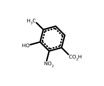 Cc1ccc(C(=O)O)c([N+](=O)[O-])c1O